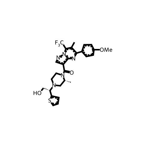 COc1ccc(-c2nc3c(C(=O)N4CCN([C@@H](CO)c5cccs5)C[C@H]4C)cnn3c(C(F)(F)F)c2C)cc1